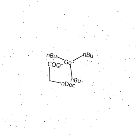 CCCCCCCCCCCC(=O)[O-].CCC[CH2][Ge+]([CH2]CCC)[CH2]CCC